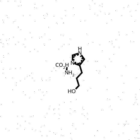 NC(=O)O.OCCCc1c[nH]cn1